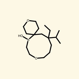 CCC1(C(C)C)CCCOCCN(O)C2(CCOCC2)C1